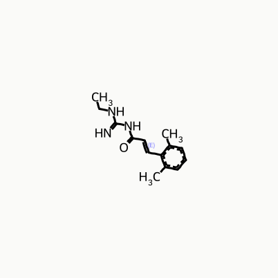 CCNC(=N)NC(=O)/C=C/c1c(C)cccc1C